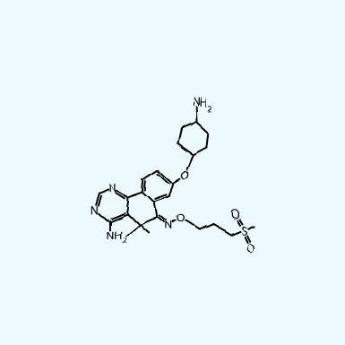 CC1(C)/C(=N/OCCCS(C)(=O)=O)c2cc(OC3CCC(N)CC3)ccc2-c2ncnc(N)c21